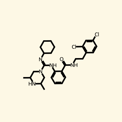 CC1CN(/C(=N/C2CCCCC2)Nc2ccccc2C(=O)NCCc2ccc(Cl)cc2Cl)CC(C)N1